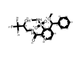 CNS(=O)(=O)c1c(C(OC)c2ccccc2)ccnc1C(=O)NCC(O)C(F)(F)F